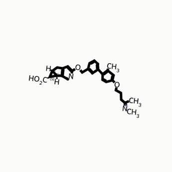 C/N=C(\C)CCCOc1ccc(-c2cccc(COc3cc4c(cn3)[C@H]3[C@@H](C4)[C@@H]3C(=O)O)c2)c(C)c1